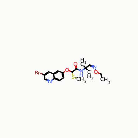 CCO/N=C\C(C)(C)NC(=O)C(Oc1ccc2ncc(Br)cc2c1)SC